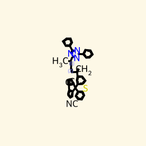 C=C(/C=C\C=C(/C)c1nc(-c2ccccc2)nc(-c2ccccc2)n1)c1ccc2c(c1)C1(c3cc(C#N)ccc3S2)c2ccccc2-c2ccccc21